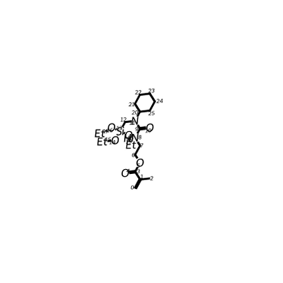 C=C(C)C(=O)OCCNC(=O)N(C[Si](OCC)(OCC)OCC)C1CCCCC1